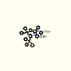 COc1cc(OC)cc(-n2c3ccccc3c3ccc4c(c5ccccc5n4-c4cc(-c5sc(-c6ccccc6)c(-c6ccccc6)c5-c5ccccc5)cc(-c5sc(C6C=CC=CC6)c(-c6ccccc6)c5-c5ccccc5)c4)c32)c1